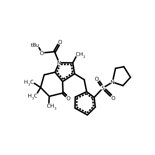 Cc1c(Cc2ccccc2S(=O)(=O)N2CCCC2)c2c(n1C(=O)OC(C)(C)C)CC(C)(C)C(C)C2=O